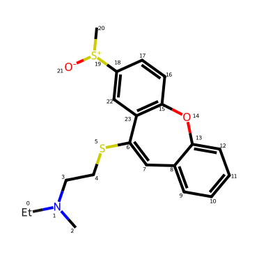 CCN(C)CCSC1=Cc2ccccc2Oc2ccc([S+](C)[O-])cc21